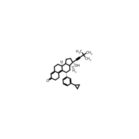 CC(C)(C)C#C[C@]1(O)CCC2[C@@H]3CCC4=CC(=O)CCC4=C3[C@@H](c3cccc(C4CC4)c3)C[C@@]21C